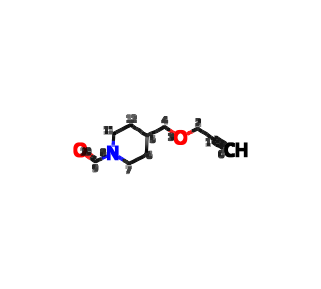 C#CCOCC1CCN(C=O)CC1